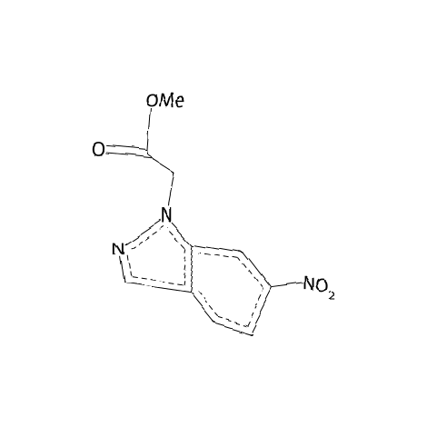 COC(=O)Cn1ncc2ccc([N+](=O)[O-])cc21